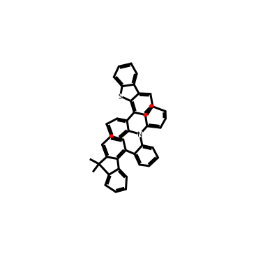 CC1(C)c2ccccc2-c2c(-c3ccccc3N(c3ccccc3)c3ccccc3-c3cccc4c3sc3ccccc34)cccc21